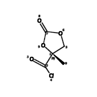 C[C@]1(C(=O)Cl)COC(=O)O1